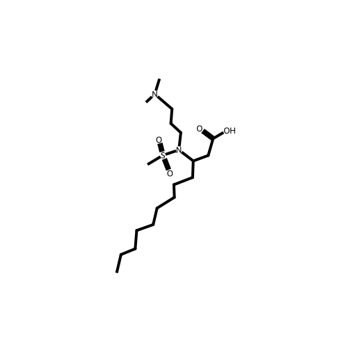 CCCCCCCCCC(CC(=O)O)N(CCCN(C)C)S(C)(=O)=O